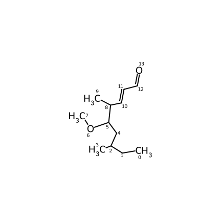 CCC(C)CC(OC)C(C)C=CC=O